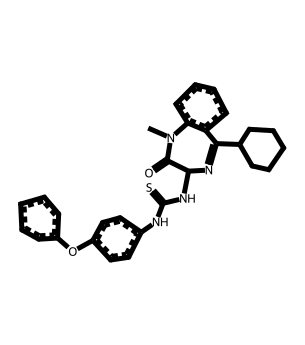 CN1C(=O)C(NC(=S)Nc2ccc(Oc3ccccc3)cc2)N=C(C2CCCCC2)c2ccccc21